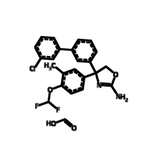 Cc1cc(C2(c3cccc(-c4cccc(Cl)c4)c3)COC(N)=N2)ccc1OC(F)F.O=CO